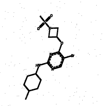 CC1CCC(Nc2ncc(Br)c(OC3CN(S(C)(=O)=O)C3)n2)CC1